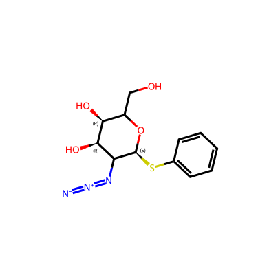 [N-]=[N+]=NC1[C@@H](O)[C@@H](O)C(CO)O[C@H]1Sc1ccccc1